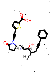 CC(CC#Cc1ccccc1)[C@H](O)/C=C/[C@H]1CCC(=O)N1C#Cc1ccc(C(=O)O)s1